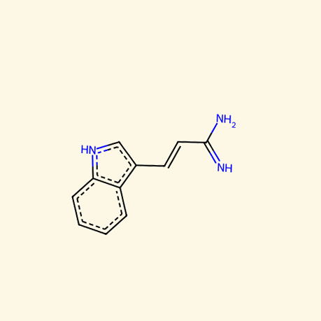 N=C(N)/C=C/c1c[nH]c2ccccc12